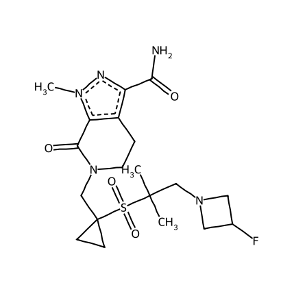 Cn1nc(C(N)=O)c2c1C(=O)N(CC1(S(=O)(=O)C(C)(C)CN3CC(F)C3)CC1)CC2